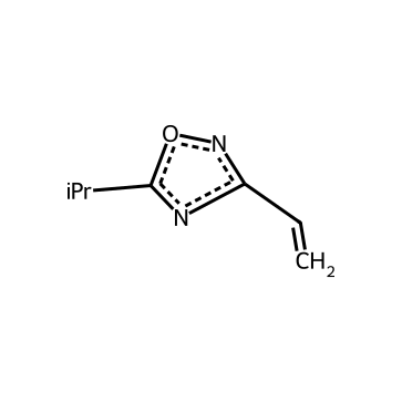 C=Cc1noc(C(C)C)n1